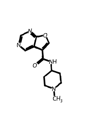 CN1CCC(NC(=O)c2coc3ncncc23)CC1